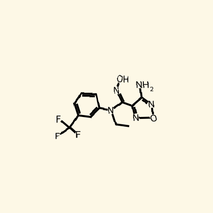 CCN(C(=NO)c1nonc1N)c1cccc(C(F)(F)F)c1